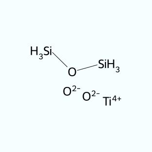 [O-2].[O-2].[SiH3]O[SiH3].[Ti+4]